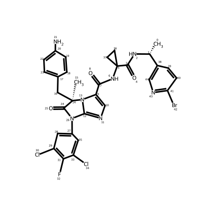 C[C@@H](NC(=O)C1(NC(=O)c2cnc3n2[C@](C)(Cc2ccc(N)cc2)C(=O)N3c2cc(Cl)c(F)c(Cl)c2)CC1)c1ccc(Br)nc1